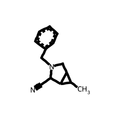 CC1C2CN(Cc3ccccc3)C(C#N)C12